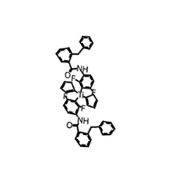 O=C(Nc1ccc(F)[c]([Ti]([C]2=CC=CC2)([C]2=CC=CC2)[c]2c(F)ccc(NC(=O)c3ccccc3Cc3ccccc3)c2F)c1F)c1ccccc1Cc1ccccc1